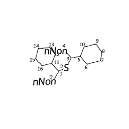 CCCCCCCCCC(SC(CCCCCCCCC)C1CCCCC1)C1CCCCC1